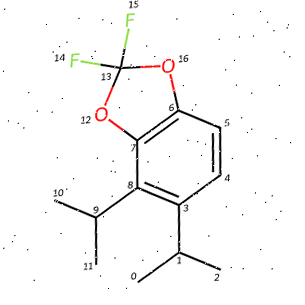 CC(C)c1ccc2c(c1C(C)C)OC(F)(F)O2